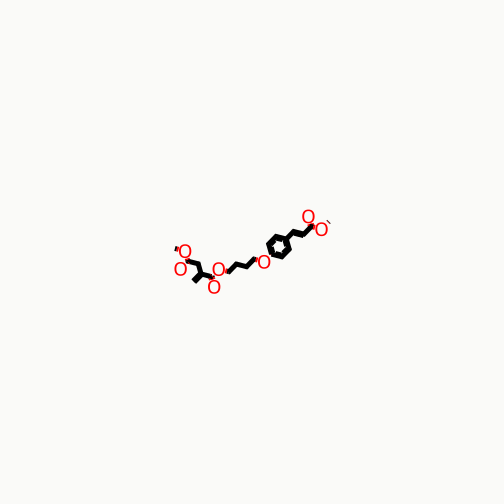 C=C(CC(=O)OC)C(=O)OCCCCOc1ccc(/C=C/C(=O)OC)cc1